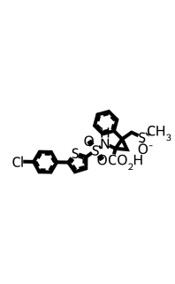 C[S+]([O-])CC1(c2ccccc2)CC1(NS(=O)(=O)c1ccc(-c2ccc(Cl)cc2)s1)C(=O)O